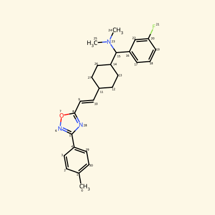 Cc1ccc(-c2noc(C=CC3CCC(C(c4cccc(F)c4)N(C)C)CC3)n2)cc1